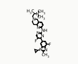 Cc1nc2c(F)cc(-c3nc(Nc4ccc5c(n4)CCN(C[C@@H](C)N(C)C)C5)ncc3F)cc2n1C1CC1